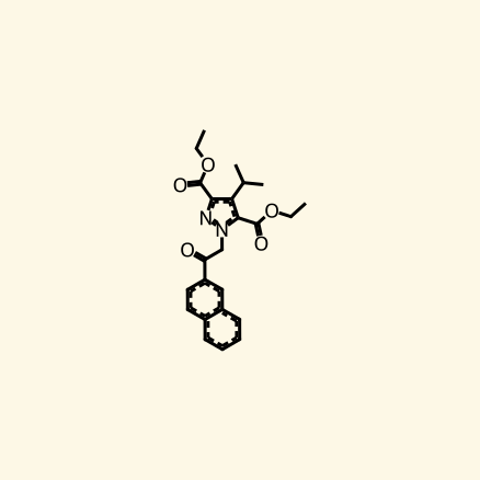 CCOC(=O)c1nn(CC(=O)c2ccc3ccccc3c2)c(C(=O)OCC)c1C(C)C